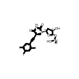 O=c1[nH]c(=O)n([C@H]2C[C@@H](O)[C@@H](O[PH](=O)O)O2)cc1C#Cc1cc(I)c(I)cc1I